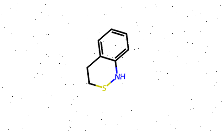 [CH]1Cc2ccccc2NS1